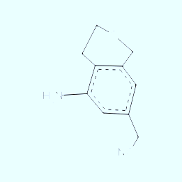 N#CCc1cc(N)c2c(c1)CCCC2